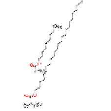 CCCCCCCCCCCCCCCCCCCCCCCCCCCCCCCCCCOC(=O)C(CC)CCCC.CCCCCCCCCCCCCCCCCCOC(=O)CCCCCC